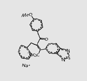 COc1ccc(C(=O)/C(Cc2ccccc2)=C(/C(=O)[O-])c2ccc3nsnc3c2)cc1.[Na+]